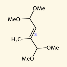 COC(/C=C(\C)C(OC)OC)OC